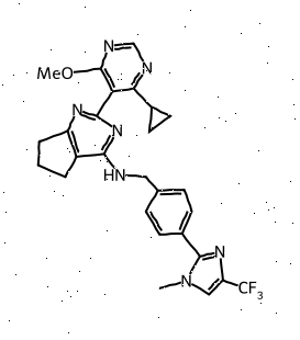 COc1ncnc(C2CC2)c1-c1nc2c(c(NCc3ccc(-c4nc(C(F)(F)F)cn4C)cc3)n1)CCC2